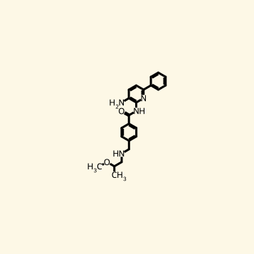 COC(C)CNCc1ccc(C(=O)Nc2nc(-c3ccccc3)ccc2N)cc1